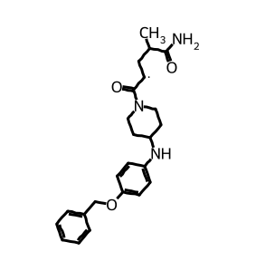 CC(C[CH]C(=O)N1CCC(Nc2ccc(OCc3ccccc3)cc2)CC1)C(N)=O